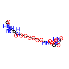 O=C(COc1cccc2c1C(=O)N(C1CCC(=O)NC1=O)C2=O)NCCCCOCCOCCOCCOCCOCCOCCNC(=O)c1ccc(-c2ncc(NCc3ccco3)n3cnnc23)cc1